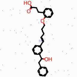 O=C(O)CCc1ccccc1OCCC/C=C/c1cccc(C(O)Cc2ccccc2)c1